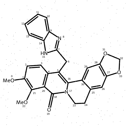 COc1ccc2c(Cc3nc4ccccc4[nH]3)c3n(c(=O)c2c1OC)CCc1cc2c(cc1-3)OCO2